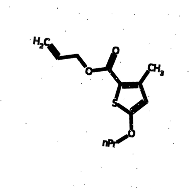 C=CCOC(=O)c1sc(OCCC)cc1C